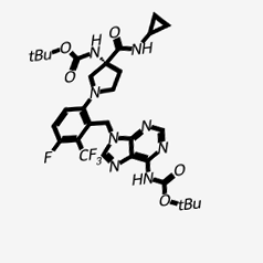 CC(C)(C)OC(=O)Nc1ncnc2c1ncn2Cc1c(N2CC[C@](NC(=O)OC(C)(C)C)(C(=O)NC3CC3)C2)ccc(F)c1C(F)(F)F